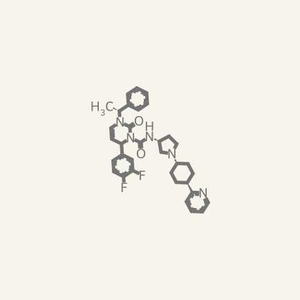 C[C@H](c1ccccc1)N1C=CC(c2ccc(F)c(F)c2)N(C(=O)N[C@@H]2CCN([C@H]3CC[C@H](c4ccccn4)CC3)C2)C1=O